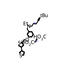 CCN(C/C=C/C#CC(C)(C)C)Cc1cccc(OCc2cc(-c3ccsc3)cs2)c1.O=C(O)/C=C\C(=O)O